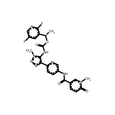 C[C@@H](OC(=O)Nc1c(-c2ccc(NC(=O)c3ccc(=O)n(C)c3)cn2)nnn1C)c1cc(F)cnc1F